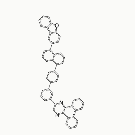 c1cc(-c2ccc(-c3cccc4c(-c5ccc6oc7ccccc7c6c5)cccc34)cc2)cc(-c2cnc3c4ccccc4c4ccccc4c3n2)c1